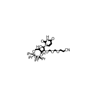 CC(C)[Si]1(C(C)C)OC[C@H]2O[C@@H](n3ccc(=O)[nH]c3=O)[C@@H](OCOCOCCC#N)[C@H]2O[Si](C(C)C)(C(C)C)O1